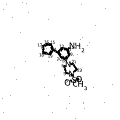 CS(=O)(=O)N1CCN(c2cc(N)cc(-c3ccccc3)c2)CC1